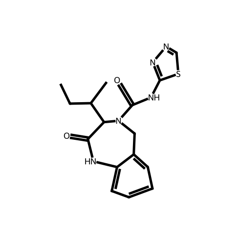 CCC(C)C1C(=O)Nc2ccccc2CN1C(=O)Nc1nncs1